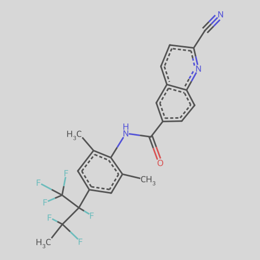 Cc1cc(C(F)(C(C)(F)F)C(F)(F)F)cc(C)c1NC(=O)c1ccc2nc(C#N)ccc2c1